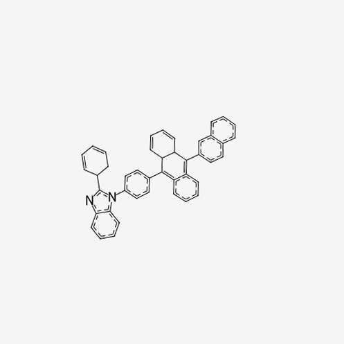 C1=CCC(c2nc3ccccc3n2-c2ccc(C3=c4ccccc4=C(c4ccc5ccccc5c4)C4C=CC=CC34)cc2)C=C1